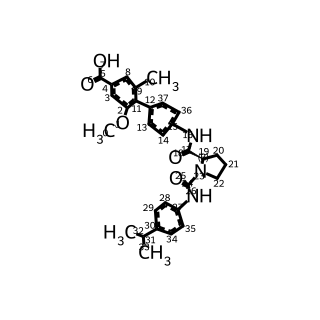 COc1cc(C(=O)O)cc(C)c1-c1ccc(NC(=O)[C@H]2CCCN2C(=O)Nc2ccc(C(C)C)cc2)cc1